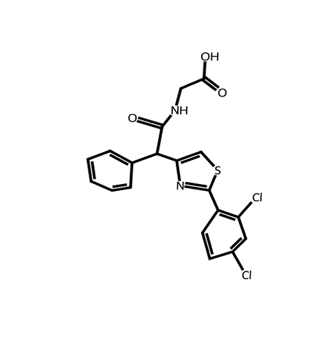 O=C(O)CNC(=O)C(c1ccccc1)c1csc(-c2ccc(Cl)cc2Cl)n1